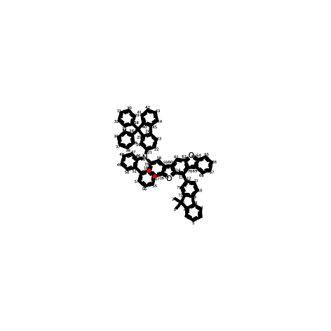 CC1(C)c2ccccc2-c2ccc(-c3c4oc5ccc(N(c6ccc7c(c6)C(c6ccccc6)(c6ccccc6)c6ccccc6-7)c6ccccc6-c6ccccc6)cc5c4cc4oc5ccccc5c34)cc21